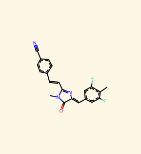 Cc1c(F)cc(/C=C2N=C(/C=C/c3ccc(C#N)cc3)N(C)C\2=O)cc1F